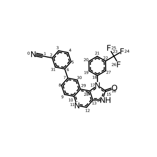 N#Cc1cccc(-c2ccc3ncc4[nH]c(=O)n(-c5cccc(C(F)(F)F)c5)c4c3c2)c1